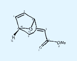 COC(=O)C=C1C[C@@H]2C=CC1O2